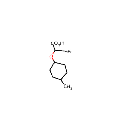 CC1CCC(OC(C(=O)O)C(C)C)CC1